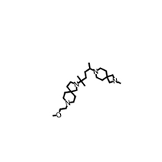 COCCN1CCC2(CC1)CCN(C(C)(C)CCC(C)N1CCC3(CC1)CN(C)C3)C2